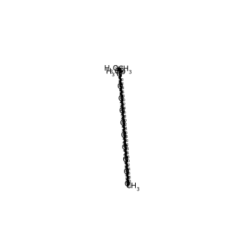 CCC(C)(C)C(=O)OCCCCCOCCCCCOCCCCCOCCCCCOCCCCCOCCCCCOCCCCCOCCCCCOCCCCCOC